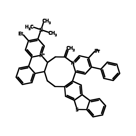 C=C1CC2C(CCc3cc4sc5ccccc5c4cc3-c3cc(-c4ccccc4)c(C(C)C)c[n+]31)c1ccccc1-c1cc(CC)c([Si](C)(C)C)c[n+]12